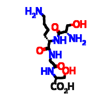 NCCCC[C@H](NC(=O)[C@@H](N)CO)C(=O)NCC(=O)N[C@@H](CO)C(=O)O